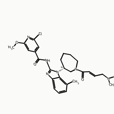 COc1cc(C(=O)Nc2nc3cccc(C)c3n2[C@@H]2CCCCN(C(=O)C=CCN(C)C)C2)cc(Cl)n1